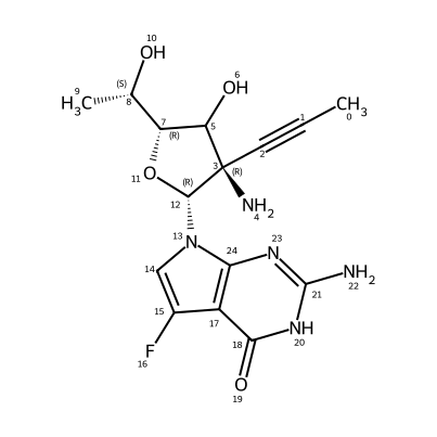 CC#C[C@@]1(N)C(O)[C@@H]([C@H](C)O)O[C@H]1n1cc(F)c2c(=O)[nH]c(N)nc21